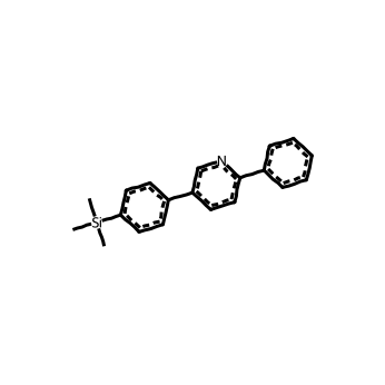 C[Si](C)(C)c1ccc(-c2ccc(-c3ccccc3)nc2)cc1